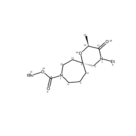 CCN1C[C@@]2(CCCN(C(=O)OC(C)(C)C)CC2)O[C@@H](C)C1=O